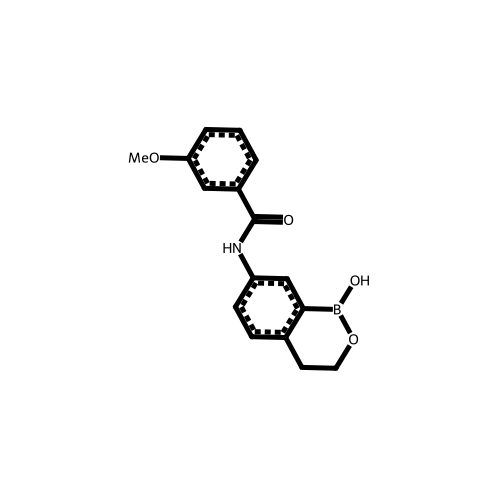 COc1cccc(C(=O)Nc2ccc3c(c2)B(O)OCC3)c1